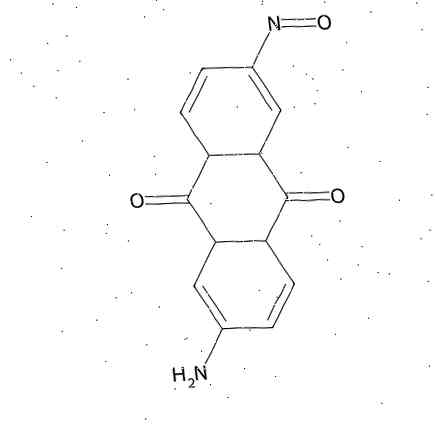 NC1=CC2C(=O)C3C=CC(N=O)=CC3C(=O)C2C=C1